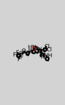 O=C(COc1c(F)c(F)cc(F)c1F)c1cccc(Oc2ccc(Cn3c(C4CCNCC4)nc(-c4ccc(Cl)c(Cl)c4)c3-c3ccnc(NC4CCCCC4)n3)cc2)c1